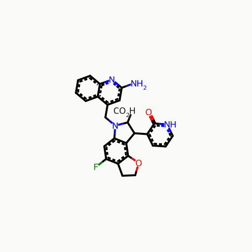 Nc1cc(CN2c3cc(F)c4c(c3C(c3ccc[nH]c3=O)C2C(=O)O)OCC4)c2ccccc2n1